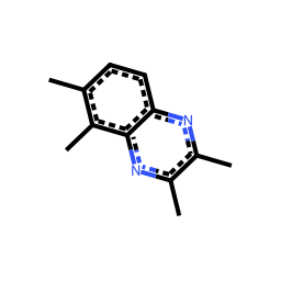 Cc1ccc2nc(C)c(C)nc2c1C